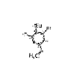 C=Cc1cc(F)c(C(C)(C)C)c(F)c1